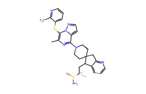 Cc1nc(N2CCC3(CC2)Cc2ncccc2C3C[C@H](C)[S+](N)[O-])c2ccnn2c1Sc1cccnc1C(F)(F)F